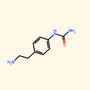 NCCc1ccc(NC(N)=O)cc1